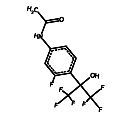 CC(=O)Nc1ccc(C(O)(C(F)(F)F)C(F)(F)F)c(F)c1